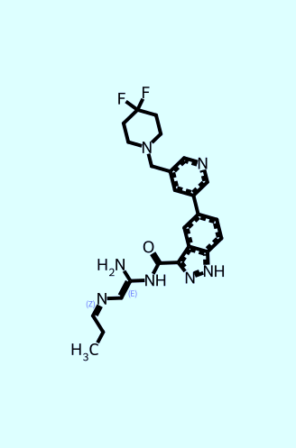 CC/C=N\C=C(/N)NC(=O)c1n[nH]c2ccc(-c3cncc(CN4CCC(F)(F)CC4)c3)cc12